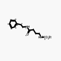 CCOC(=O)NCCCC(=O)NCCc1ccccc1